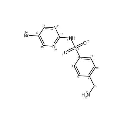 NCc1ccc(S(=O)(=O)Nc2ncc(Br)cn2)cc1